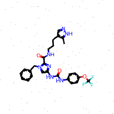 Cc1[nH]ncc1CCCNC(=O)c1nc(NC(=O)Nc2ccc(OC(F)(F)F)cc2)cn1Cc1ccccc1